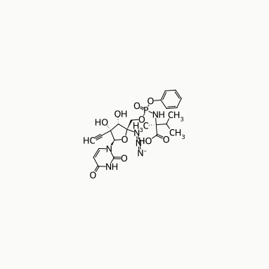 C#C[C@]1(O)[C@H](n2ccc(=O)[nH]c2=O)O[C@@](COP(=O)(N[C@](C)(C(=O)O)C(C)C)Oc2ccccc2)(N=[N+]=[N-])[C@H]1O